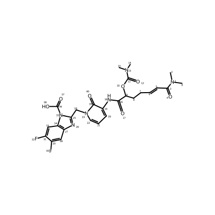 CN(C)C(=O)/C=C/CCC(OC(=O)N(C)C)C(=O)Nc1cccn(Cc2nc3cc(F)c(F)cc3n2C(=O)O)c1=O